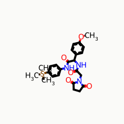 COc1ccc(C(NC(=O)CN2C(=O)CCC2=O)C(=O)Nc2ccc(S(C)(C)C)cc2)cc1